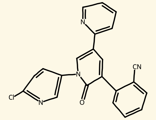 N#Cc1ccccc1-c1cc(-c2ccccn2)cn(-c2ccc(Cl)nc2)c1=O